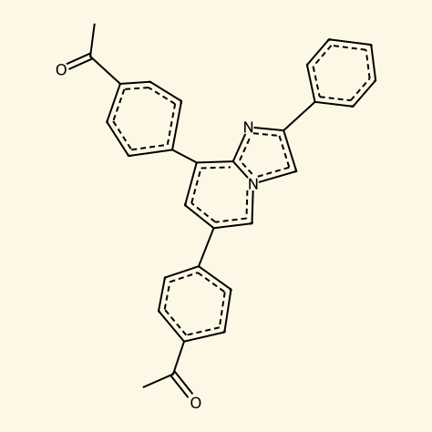 CC(=O)c1ccc(-c2cc(-c3ccc(C(C)=O)cc3)c3nc(-c4ccccc4)cn3c2)cc1